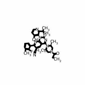 C=CC(=O)N1C[C@@H](C)N(c2nc(=O)n(-c3c(C)ccnc3C(C)C)c3nc(-c4cccc(C)c4F)c(C#N)cc23)[C@@H](C)C1